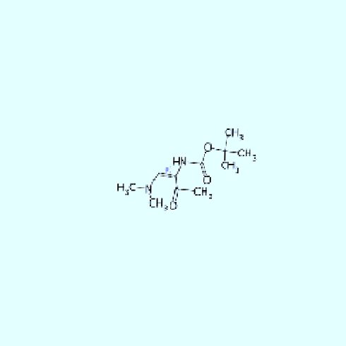 CC(=O)/C(=C\N(C)C)NC(=O)OC(C)(C)C